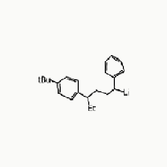 [Li][CH](CCC(CC)c1ccc(C(C)(C)C)cc1)c1ccccc1